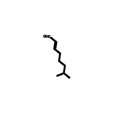 CN(C)CCCC=C[C]=O